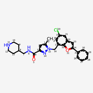 Cc1cc(C(=O)NCC2CCNCC2)nn1Cc1cc(Cl)cc2cc(-c3ccccc3)oc12